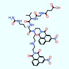 CC(C)C(NC(=O)CNC(=O)CCC(=O)O)C(=O)N[C@@H](CCCNC(N)=O)C(=O)N(CCCNCCN1C(=O)c2cccc3cc([N+](=O)[O-])cc(c23)C1=O)CCN1C(=O)c2cccc3cc([N+](=O)[O-])cc(c23)C1=O